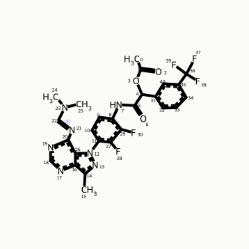 CC(=O)OC(C(=O)Nc1ccc(-n2nc(C)c3ncnc(/N=C/N(C)C)c32)c(F)c1F)c1cccc(C(F)(F)F)c1